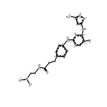 CCN(CC)CCNC(=O)CCc1ccc(Nc2ncc(Br)c(Nc3cc(C)on3)n2)cc1